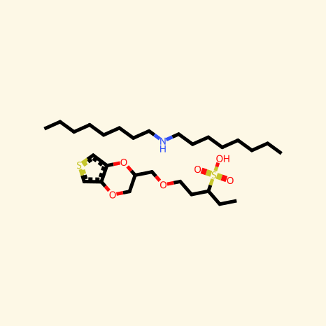 CCC(CCOCC1COc2cscc2O1)S(=O)(=O)O.CCCCCCCCNCCCCCCCC